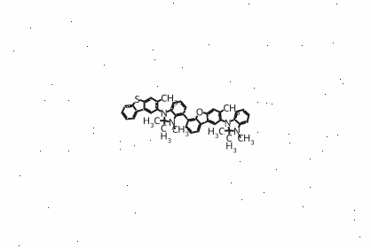 Cc1cc2oc3c(-c4cccc5c4N(C)C(C)(C)N5c4cc5c(cc4C)sc4ccccc45)cccc3c2cc1N1c2ccccc2N(C)C1(C)C